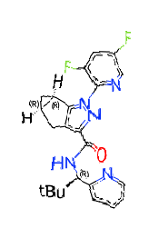 CC(C)(C)[C@@H](NC(=O)c1nn(-c2ncc(F)cc2F)c2c1C[C@H]1C[C@@H]21)c1ccccn1